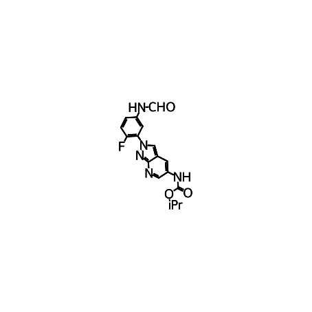 CC(C)OC(=O)Nc1cnc2nn(-c3cc(NC=O)ccc3F)cc2c1